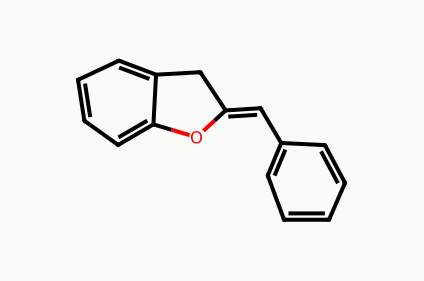 C(=C1Cc2ccccc2O1)c1ccccc1